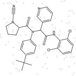 CC(C)(C)c1ccc(N(C(=O)C2CCCN2C#N)C(C(=O)Nc2c(Cl)cccc2Cl)c2cccnc2)cc1